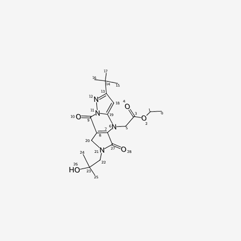 CCOC(=O)Cn1c2c(c(=O)n3nc(C(C)(C)C)cc13)CN(CC(C)(C)O)C2=O